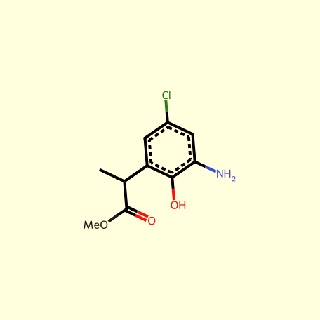 COC(=O)C(C)c1cc(Cl)cc(N)c1O